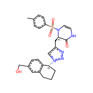 Cc1ccc(S(=O)(=O)N2C=CNC(=O)[C@H]2Cc2cn([C@@H]3CCCc4cc(CO)ccc43)nn2)cc1